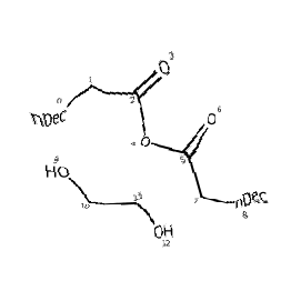 CCCCCCCCCCCC(=O)OC(=O)CCCCCCCCCCC.OCCO